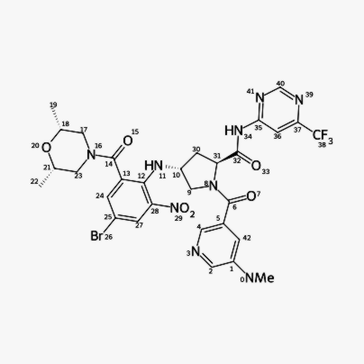 CNc1cncc(C(=O)N2C[C@H](Nc3c(C(=O)N4C[C@@H](C)O[C@@H](C)C4)cc(Br)cc3[N+](=O)[O-])C[C@H]2C(=O)Nc2cc(C(F)(F)F)ncn2)c1